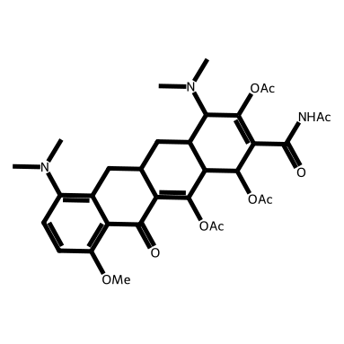 COc1ccc(N(C)C)c2c1C(=O)C1=C(OC(C)=O)C3C(OC(C)=O)C(C(=O)NC(C)=O)=C(OC(C)=O)C(N(C)C)C3CC1C2